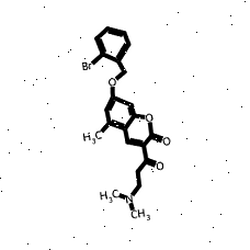 Cc1cc(OCc2ccccc2Br)cc2oc(=O)c(C(=O)CCN(C)C)cc12